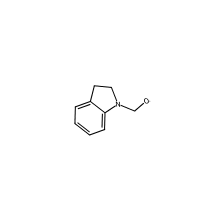 [O]CN1CCc2ccccc21